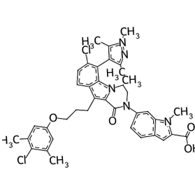 Cc1cc(OCCCc2c3n(c4c(-c5c(C)nn(C)c5C)c(Cl)ccc24)C(C)CN(c2ccc4cc(C(=O)O)n(C)c4c2)C3=O)cc(C)c1Cl